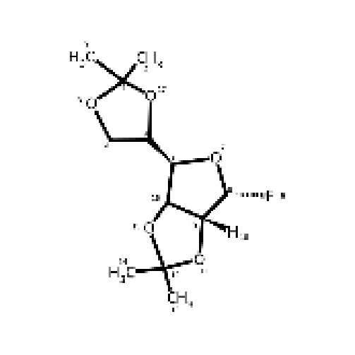 CC1(C)OCC([C@H]2O[C@H](F)[C@@H]3OC(C)(C)OC23)O1